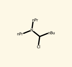 CCCCC(Cl)N(CCC)CCC